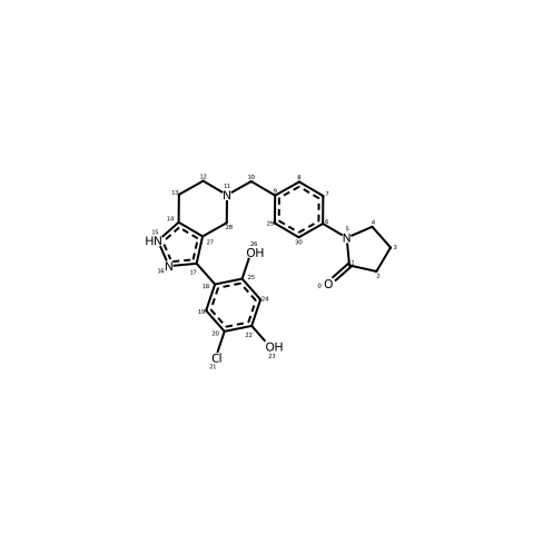 O=C1CCCN1c1ccc(CN2CCc3[nH]nc(-c4cc(Cl)c(O)cc4O)c3C2)cc1